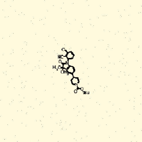 CC(C)(C)OC(=O)N1CCC(c2ccc3c(c2)C(C)(C)C(=O)N3c2cccc(Cl)c2C#N)CC1